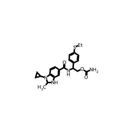 CCSc1ccc(C(COC(N)=O)NC(=O)c2ccc3c(c2)NC(C)N3C2CC2)cc1